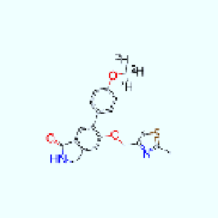 [2H]C([2H])([2H])Oc1ccc(-c2cc3c(cc2OCc2csc(C)n2)CNC3=O)cc1